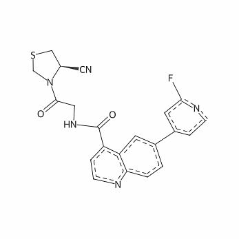 N#C[C@@H]1CSCN1C(=O)CNC(=O)c1ccnc2ccc(-c3ccnc(F)c3)cc12